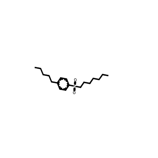 CCCC[CH]CCS(=O)(=O)c1ccc(CCCCC)cc1